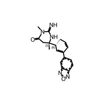 CN1C(=N)N[C@](C)([C@H]2C=C(c3ccc4nonc4c3)C=CC2)CC1=O